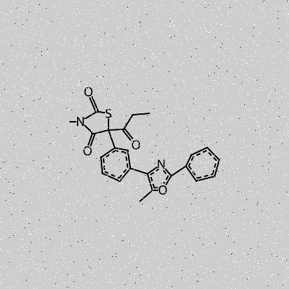 CCC(=O)C1(c2cccc(-c3nc(-c4ccccc4)oc3C)c2)SC(=O)N(C)C1=O